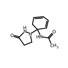 CC(=O)NC1(N2CCC(=O)N2)C=CC=CC1